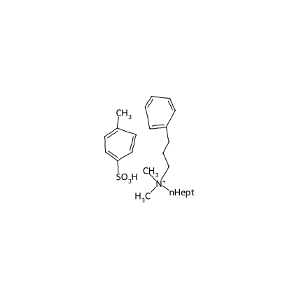 CCCCCCC[N+](C)(C)CCCc1ccccc1.Cc1ccc(S(=O)(=O)O)cc1